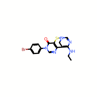 CCNC1=C2CN(C=N1)Sc1c2ncn(-c2ccc(Br)cc2)c1=O